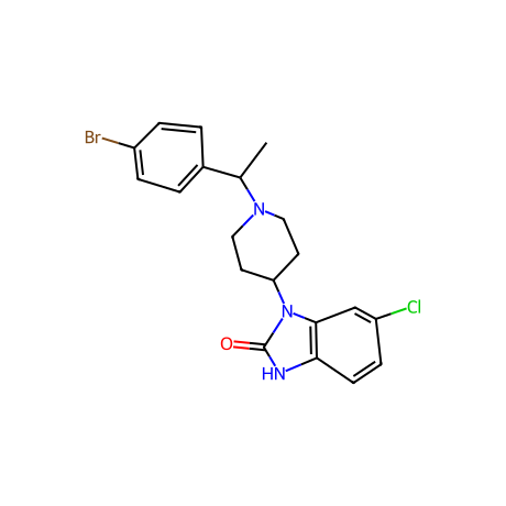 CC(c1ccc(Br)cc1)N1CCC(n2c(=O)[nH]c3ccc(Cl)cc32)CC1